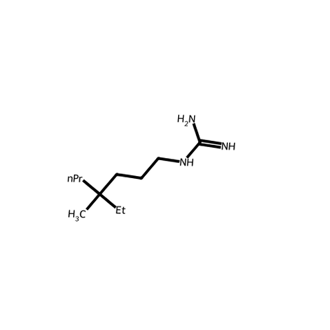 CCCC(C)(CC)CCCNC(=N)N